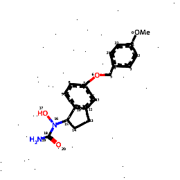 COc1ccc(COc2ccc3c(c2)CCC3N(O)C(N)=O)cc1